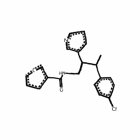 CC(c1ccc(Cl)cc1)C(CNC(=O)c1ccccc1)c1cccnc1